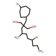 CCCC(Br)CCC(C)CC(CO)(CO)CC1CCCC(Br)CC1